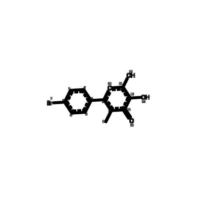 Cc1c(-c2ccc(Br)cc2)oc(O)c(O)c1=O